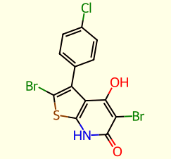 O=c1[nH]c2sc(Br)c(-c3ccc(Cl)cc3)c2c(O)c1Br